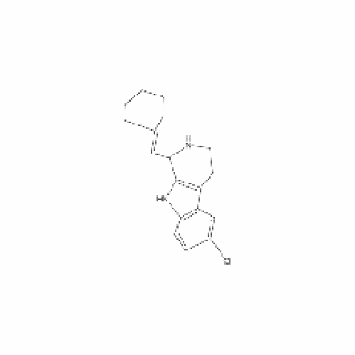 Clc1ccc2[nH]c3c(c2c1)CCNC3C=C1CCCCC1